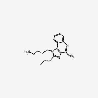 CCCc1nc2c(N)nc3ccccc3c2n1CCCCN